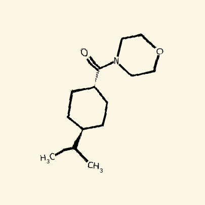 CC(C)[C@H]1CC[C@H](C(=O)N2CCOCC2)CC1